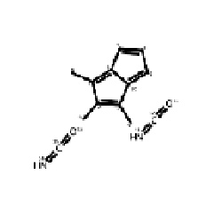 CC1=C(C)C(C)=C2C=CC=C12.N=C=O.N=C=O